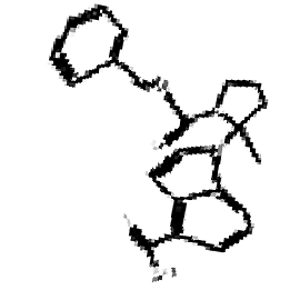 CC1(n2ccc3c(C(=O)O)cccc32)CCCN1C(=O)OCc1ccccc1